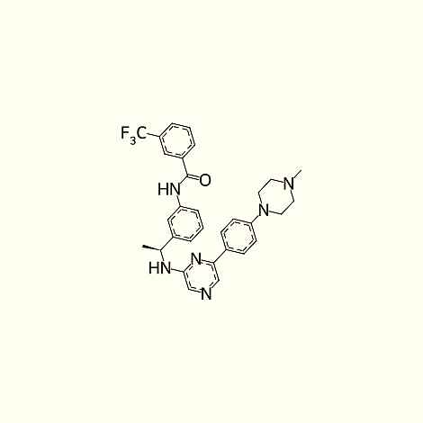 C[C@H](Nc1cncc(-c2ccc(N3CCN(C)CC3)cc2)n1)c1cccc(NC(=O)c2cccc(C(F)(F)F)c2)c1